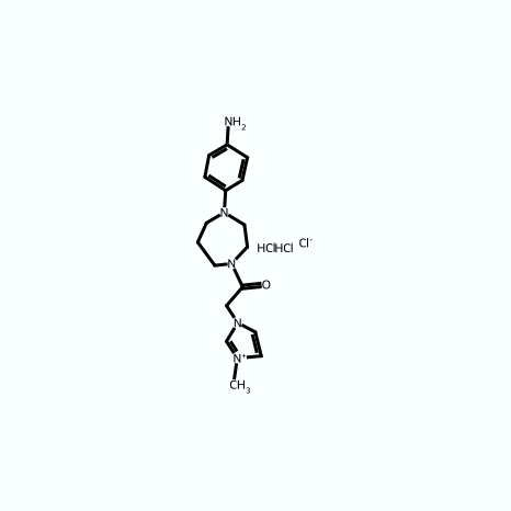 C[n+]1ccn(CC(=O)N2CCCN(c3ccc(N)cc3)CC2)c1.Cl.Cl.[Cl-]